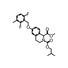 COC(=O)C1c2ccc(OCc3c(F)ccc(C)c3F)cc2CCN1C(=O)OCC(C)C